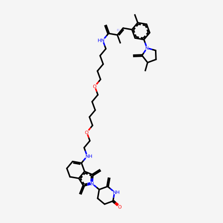 C=C(NCCCCCOCCCCCOCCNC1=CCCc2c1c(=C)n(C1CCC(=O)NC1=C)c2=C)/C(C)=C/c1cc(N2CCC(C)C2=C)ccc1C